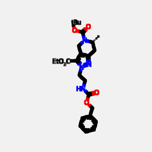 CCOC(=O)c1c2c(nn1CCNC(=O)OCc1ccccc1)C[C@@H](C)N(C(=O)OC(C)(C)C)C2